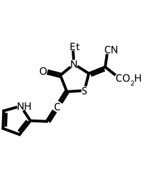 CCn1c(=O)c(=C=Cc2ccc[nH]2)s/c1=C(/C#N)C(=O)O